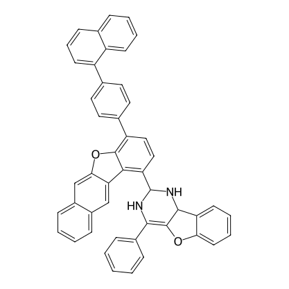 c1ccc(C2=C3Oc4ccccc4C3NC(c3ccc(-c4ccc(-c5cccc6ccccc56)cc4)c4oc5cc6ccccc6cc5c34)N2)cc1